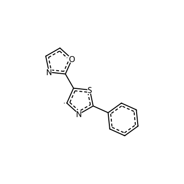 [c]1nc(-c2ccccc2)sc1-c1ncco1